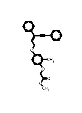 COC(=O)COc1ccc(OCC=C(C#Cc2ccccc2)c2ccccc2)cc1C